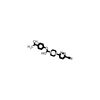 CC(C)c1ccc(OC(O)N2CCN(c3ccc(C#N)nn3)CC2)cc1